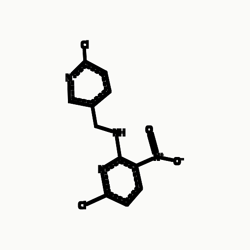 O=[N+]([O-])c1ccc(Cl)nc1NCc1ccc(Cl)nc1